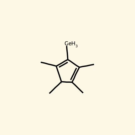 C[C]1C(C)=C(C)[C]([GeH3])=C1C